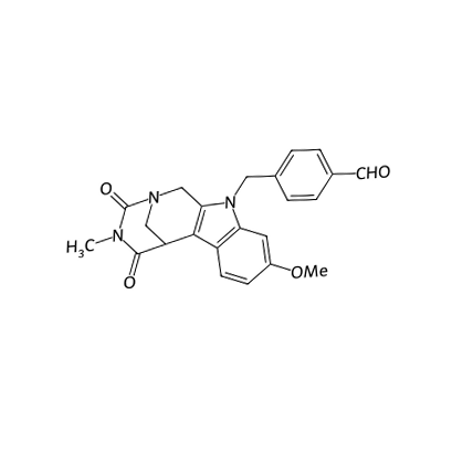 COc1ccc2c3c(n(Cc4ccc(C=O)cc4)c2c1)CN1CC3C(=O)N(C)C1=O